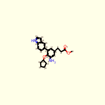 COC(=O)CCc1cc(N)c(OC2CCCC2)c(-c2ccc3[nH]ccc3c2)c1